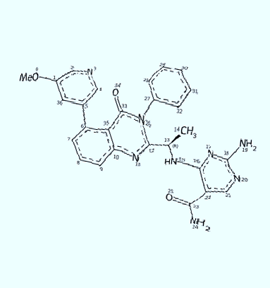 COc1cncc(-c2cccc3nc([C@@H](C)Nc4nc(N)ncc4C(N)=O)n(-c4ccccc4)c(=O)c23)c1